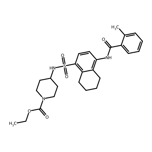 CCOC(=O)N1CCC(NS(=O)(=O)c2ccc(NC(=O)c3ccccc3C)c3c2CCCC3)CC1